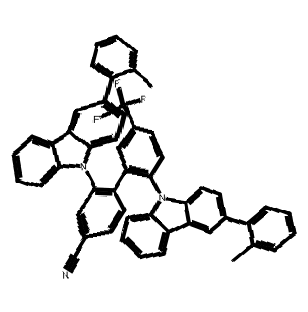 Cc1ccccc1-c1ccc2c(c1)c1ccccc1n2-c1ccc(C(F)(F)F)cc1-c1ccc(C#N)cc1-n1c2ccccc2c2cc(-c3ccccc3C)ccc21